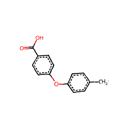 [CH2]c1ccc(Oc2ccc(C(=O)O)cc2)cc1